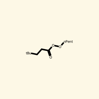 CCCCCOOC(=O)CCC(C)(C)C